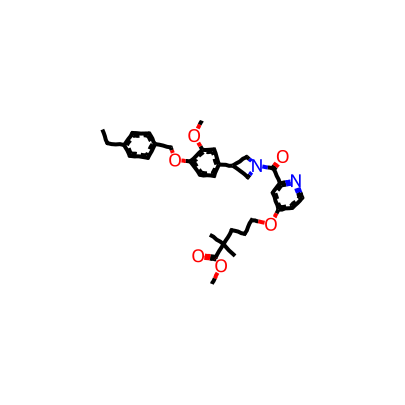 CCc1ccc(COc2ccc(C3CN(C(=O)c4cc(OCCCC(C)(C)C(=O)OC)ccn4)C3)cc2OC)cc1